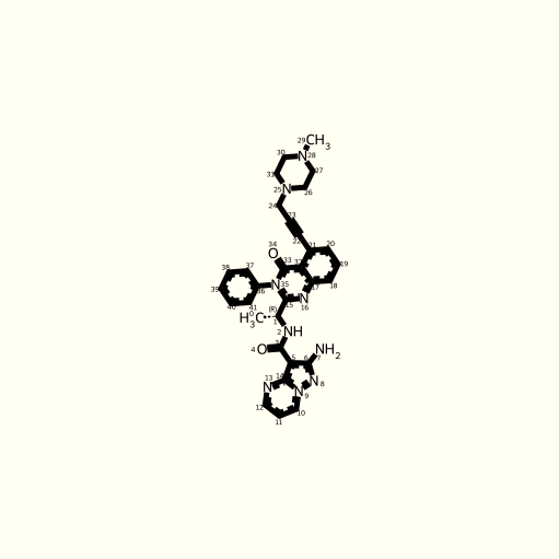 C[C@@H](NC(=O)c1c(N)nn2cccnc12)c1nc2cccc(C#CCN3CCN(C)CC3)c2c(=O)n1-c1ccccc1